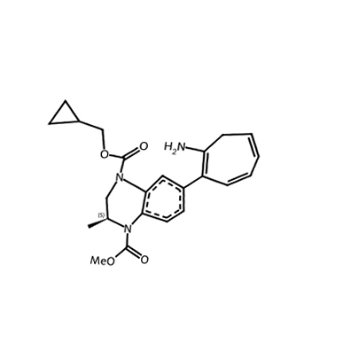 COC(=O)N1c2ccc(C3=C(N)CC=CC=C3)cc2N(C(=O)OCC2CC2)C[C@@H]1C